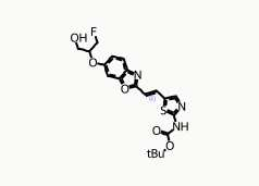 CC(C)(C)OC(=O)Nc1ncc(/C=C/c2nc3ccc(OC(CO)CF)cc3o2)s1